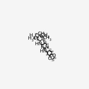 CN1C(C)(C)CC(Nc2nc(Nc3ccc4c(c3)OCCO4)ncc2F)CC1(C)C